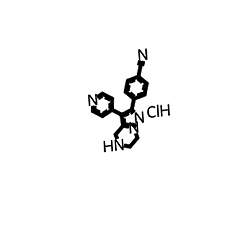 Cl.N#Cc1ccc(-c2nn3c(c2-c2ccncc2)CNCC3)cc1